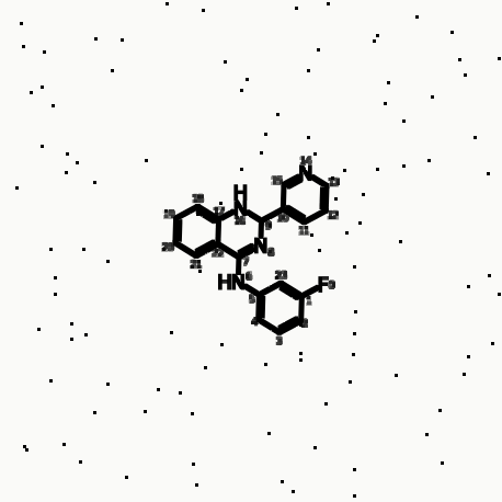 Fc1cccc(NC2=NC(c3cccnc3)Nc3ccccc32)c1